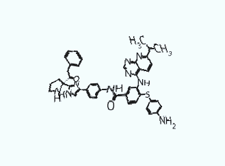 CC(C)c1ccc2c(Nc3cc(C(=O)Nc4ccc(-c5c[nH]c([C@]6(C(=O)Cc7ccccc7)CCCN6)n5)cc4)ccc3Sc3ccc(N)cc3)ncnc2n1